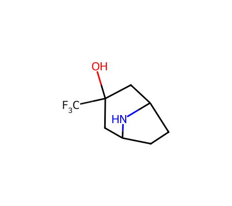 OC1(C(F)(F)F)CC2CCC(C1)N2